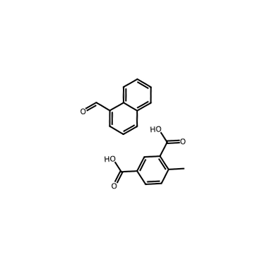 Cc1ccc(C(=O)O)cc1C(=O)O.O=Cc1cccc2ccccc12